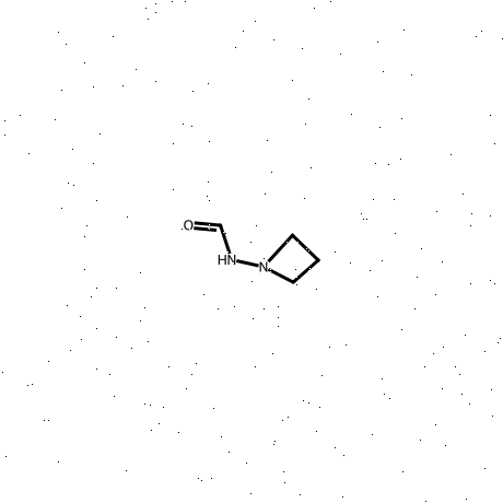 O=CNN1CCC1